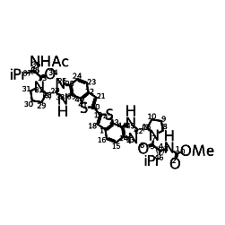 COC(=O)N[C@H](C(=O)N1CCC[C@H]1c1nc2ccc3cc(-c4cc5ccc6nc([C@@H]7CCCN7C(=O)[C@@H](NC(C)=O)C(C)C)[nH]c6c5s4)sc3c2[nH]1)C(C)C